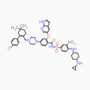 CC1(C)CCC(CN2CCN(c3ccc(C(=O)NS(=O)(=O)c4ccc(NC5CCC(NC6CC6)CC5)c([N+](=O)[O-])c4)c(Oc4cnc5[nH]ccc5c4)c3)CC2)=C(c2ccc(Cl)cc2)C1